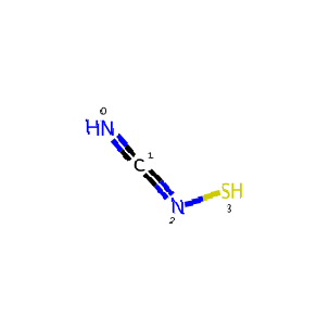 N=C=NS